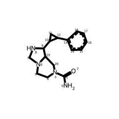 NC(=O)N1CCN2CNC(C3CC3c3ccccc3)C2C1